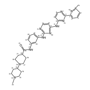 Cc1cccc(-c2nccc(Nc3ccnc(Nc4cccc(NC(=O)C5CCN(C6CCN(C)CC6)CC5)c4)n3)n2)n1